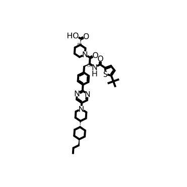 CCC[C@H]1CC[C@H](C2CCN(c3cnc(-c4ccc(C[C@H](NC(=O)c5ccc(C(C)(C)C)s5)C(=O)N5CCC[C@H](C(=O)O)C5)cc4)nc3)CC2)CC1